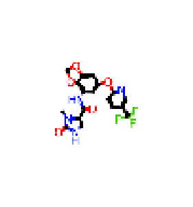 CN1C(=O)NCC1C(=O)Nc1cc(Oc2ccc(C(F)(F)F)cn2)cc2c1OCO2